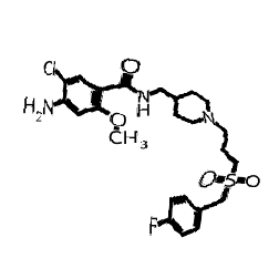 COc1cc(N)c(Cl)cc1C(=O)NCC1CCN(CCCS(=O)(=O)Cc2ccc(F)cc2)CC1